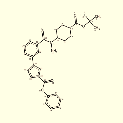 CC(C)(C)OC(=O)N1CCC(N(N)C(=O)c2cccc(-c3cn(C(=O)Oc4ccccc4)cn3)c2)CC1